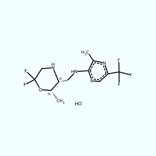 Cc1nc(C(F)(F)F)cnc1NC[C@H]1NCC(F)(F)O[C@H]1C.Cl